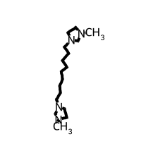 CN1CCN(CCCCCCCCCN2CCN(C)C2)C1